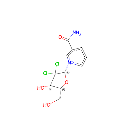 NC(=O)c1ccc[n+]([C@@H]2O[C@H](CO)[C@H](O)C2(Cl)Cl)c1